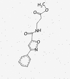 COC(=O)CCNC(=O)c1cc(-c2ccccc2)no1